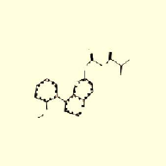 COc1ccccc1-c1ccnc2ccc(NC(=N)SC(=N)C(C)C)nc12